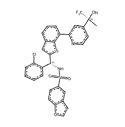 C[C@](O)(c1ccnc(-c2cccc3cc([C@H](NS(=O)(=O)c4ccc5occc5c4)c4ccccc4Cl)sc23)c1)C(F)(F)F